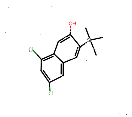 C[Si](C)(C)c1cc2cc(Cl)cc(Cl)c2cc1O